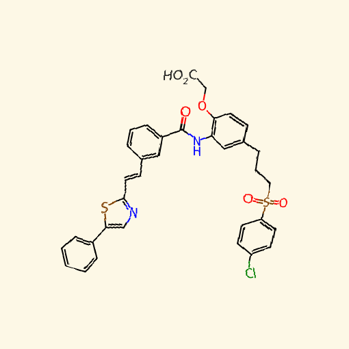 O=C(O)COc1ccc(CCCS(=O)(=O)c2ccc(Cl)cc2)cc1NC(=O)c1cccc(/C=C/c2ncc(-c3ccccc3)s2)c1